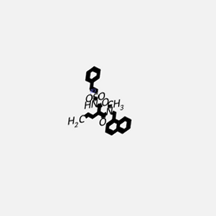 C=CCC(C(=O)NS(=O)(=O)/C=C/c1ccccc1)C(=O)N(C)Cc1cccc2ccccc12